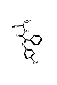 CCCCCCCCC(CCC)NC(=O)C(=Nc1ccc(O)cc1)c1ccccc1